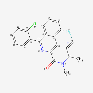 CC(/C=C/[18F])N(C)C(=O)c1cc2ccccc2c(-c2ccccc2Cl)n1